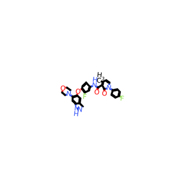 Cc1ccn(-c2ccc(F)cc2)c(=O)c1C(=O)Nc1ccc(Oc2cc3cn[nH]c3cc2N2CCOCC2)c(F)c1